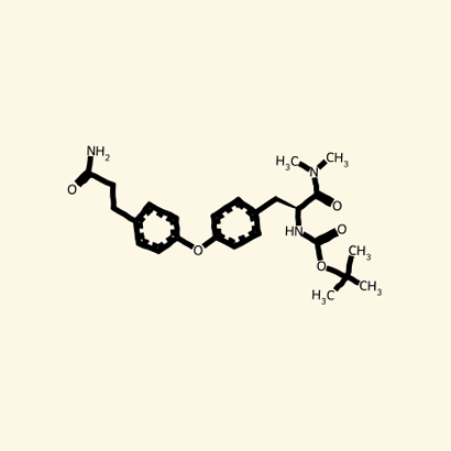 CN(C)C(=O)[C@H](Cc1ccc(Oc2ccc(CCC(N)=O)cc2)cc1)NC(=O)OC(C)(C)C